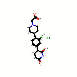 Cl.O=C(O)CN1CCC(c2ccc(C3CCC(=O)NC3=O)cc2F)CC1